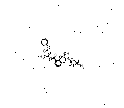 CC(OC(=O)OC1CCCCC1)OC(=O)c1cccc2c1OB(O)C(NC(=O)CC(C)(F)F)C2